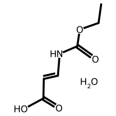 CCOC(=O)NC=CC(=O)O.O